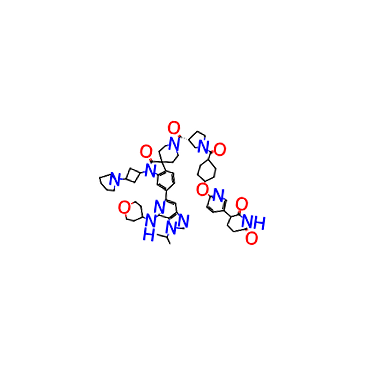 CC(C)n1cnc2cc(-c3ccc4c(c3)N(C3CC(N5CCCCC5)C3)C(=O)C43CCN(C(=O)[C@@H]4CCN(C(=O)C5CCC(Oc6ccc(C7CCC(=O)NC7=O)cn6)CC5)C4)CC3)nc(NC3CCOCC3)c21